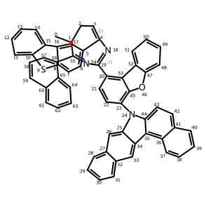 CC1C/C=C(c2ccc3sc4ccccc4c3c2)/N=C(c2ccc(-n3c4cc5ccccc5cc4c4c5ccccc5ccc43)c3oc4ccccc4c23)\N=C/1c1cccc2ccccc12